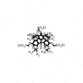 CCOC(=O)CSc1c2c(c(C(O)(c3c4c(c(SCC(=O)OCC)c5c3OC(C)(C)O5)OC(C)(C)O4)c3c4c(c(SCC(=O)OCC)c5c3SC(C)(C)S5)SC(C)(C)S4)c3c1OC(C)(C)O3)OC(C)(C)O2